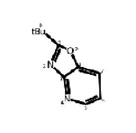 CC(C)(C)c1nc2ncccc2o1